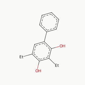 CCc1cc(-c2ccccc2)c(O)c(CC)c1O